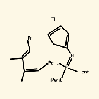 CC(=CC(C)C)C(C)=CC(C)C.CCCC(C)P(=NC1=CC=CC1)(C(C)CCC)C(C)CCC.[Ti]